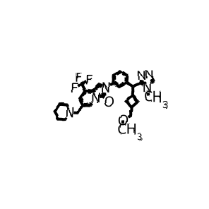 COCC1CC(C(c2cccc(-n3cc4c(C(F)(F)F)cc(CN5CCCCC5)cn4c3=O)c2)c2nncn2C)C1